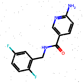 Nc1ccc(C(=O)NCc2cc(F)ccc2F)cn1